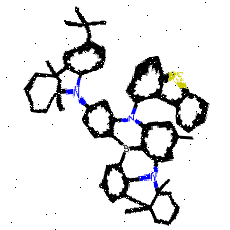 Cc1cc2c3c(c1)N1c4c(cccc4C4(C)CCCCC14C)B3c1ccc(N3c4ccc(C(C)(C)C)cc4C4(C)CCCCC34C)cc1N2c1cccc2sc3ccccc3c12